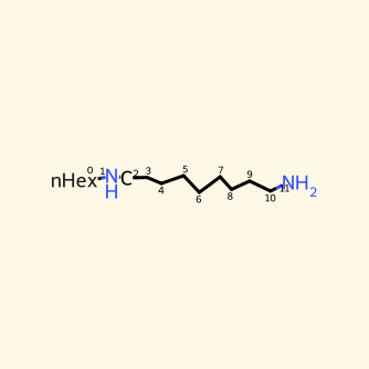 CCCCCCNCCCCCCCCCN